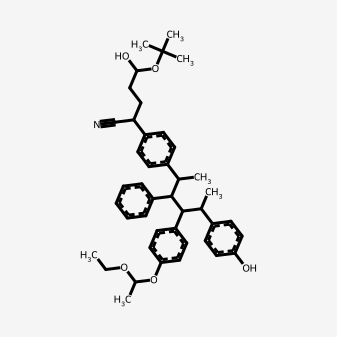 CCOC(C)Oc1ccc(C(C(C)c2ccc(O)cc2)C(c2ccccc2)C(C)c2ccc(C(C#N)CCC(O)OC(C)(C)C)cc2)cc1